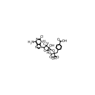 C[C@]1(F)[C@H](n2cnc3c(N)nc(Cl)nc32)O[C@@H]2C(OC(Cc3ccc(C(=O)O)cc3)(C(=O)O)C(=O)O)[C@@]21O